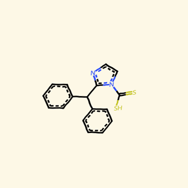 S=C(S)n1ccnc1C(c1ccccc1)c1ccccc1